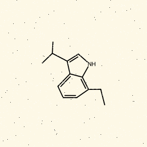 CCc1cccc2c(C(C)C)c[nH]c12